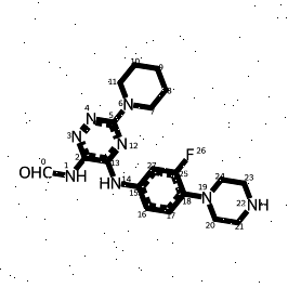 O=CNc1nnc(N2CCCCC2)nc1Nc1ccc(N2CCNCC2)c(F)c1